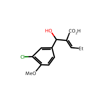 CCC=C(C(=O)O)C(O)c1ccc(OC)c(Cl)c1